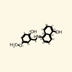 COc1ccc(O)c(CNc2cccc3c(O)cccc23)c1